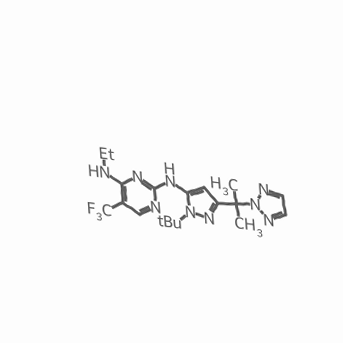 CCNc1nc(Nc2cc(C(C)(C)n3nccn3)nn2C(C)(C)C)ncc1C(F)(F)F